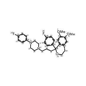 COc1cc2c(cc1OC)C(CCCN1CCN(c3ccc(F)cc3)CC1)(c1ccc(F)cc1)OCC2